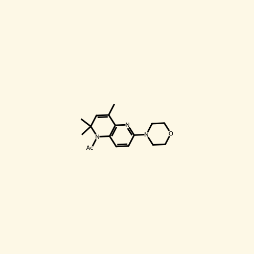 CC(=O)N1c2ccc(N3CCOCC3)nc2C(C)=CC1(C)C